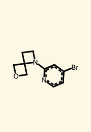 Brc1ccnc(N2CCC23COC3)c1